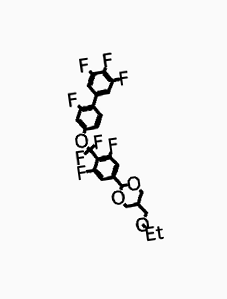 CCOCC1COC(c2cc(F)c(C(F)(F)Oc3ccc(-c4cc(F)c(F)c(F)c4)c(F)c3)c(F)c2)OC1